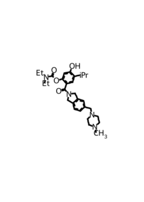 CCN(CC)C(=O)Oc1cc(O)c(C(C)C)cc1C(=O)N1Cc2ccc(CN3CCN(C)CC3)cc2C1